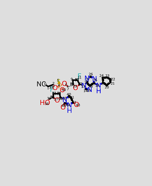 N#CCCOP(=S)(OC[C@@H]1[CH][C@H](F)[C@@H](n2cnc3c(Nc4ccccc4)ncnc32)O1)O[C@H]1[C@@H](F)[C@H](CO)O[C@@H]1n1ccc(=O)[nH]c1=O